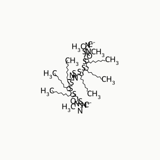 [C-]#[N+]/C(C#N)=c1\s/c(=C/c2cc(CCCCCCCC)c(-c3cc(CCCCCCCC)c(-c4cc(CCCCCCCC)c(-c5nsc(-c6sc(-c7sc(-c8sc(/C=c9/s/c(=C(\C)[N+]#[C-])n(CC)c9=O)cc8CCCCCCCC)cc7CCCCCCCC)cc6CCCCCCCC)n5)s4)s3)s2)c(=O)n1CC